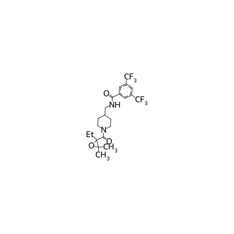 CCC1(C(=O)N2CCC(CNC(=O)c3cc(C(F)(F)F)cc(C(F)(F)F)c3)CC2)OC1(C)C